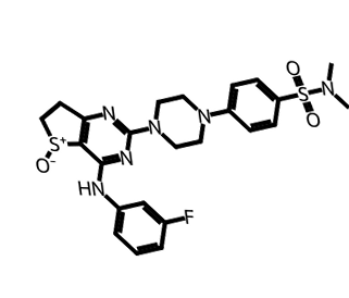 CN(C)S(=O)(=O)c1ccc(N2CCN(c3nc4c(c(Nc5cccc(F)c5)n3)[S+]([O-])CC4)CC2)cc1